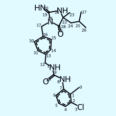 Cc1c(Cl)cccc1NC(=O)NCc1ccc(CN2C(=N)NC(C)(CC(C)C)C2=O)cc1